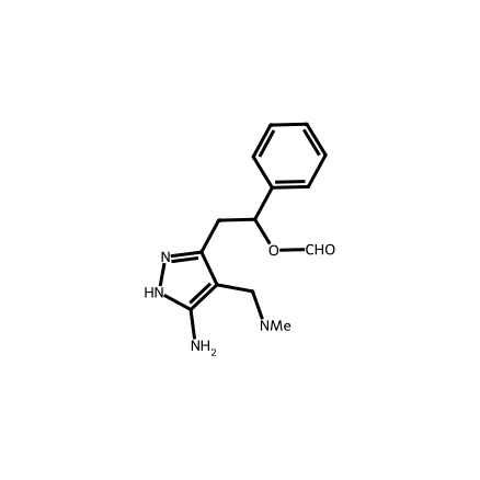 CNCc1c(CC(OC=O)c2ccccc2)n[nH]c1N